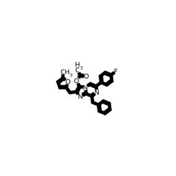 CC(=O)Oc1c(Cc2ccc(C)o2)nc2c(Cc3ccccc3)nc(-c3ccc(F)cc3)cn12